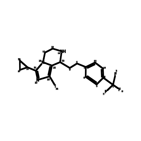 FC(F)(F)c1ccc(CCC2NCCn3c(C4CC4)nc(I)c32)cc1